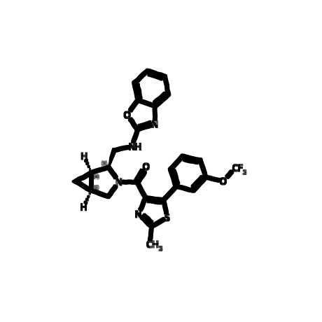 Cc1nc(C(=O)N2C[C@H]3C[C@H]3[C@H]2CNc2nc3ccccc3o2)c(-c2cccc(OC(F)(F)F)c2)s1